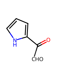 O=CC(=O)c1ccc[nH]1